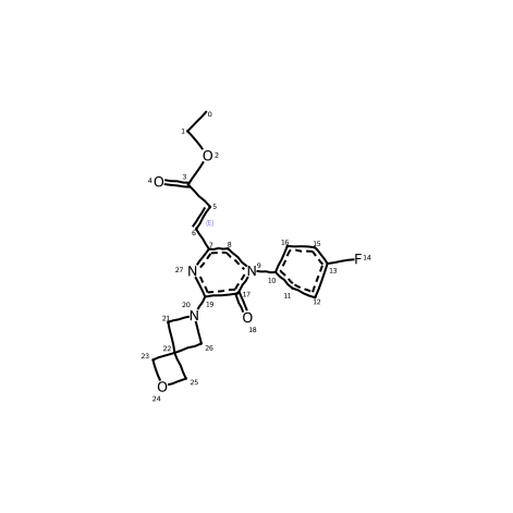 CCOC(=O)/C=C/c1cn(-c2ccc(F)cc2)c(=O)c(N2CC3(COC3)C2)n1